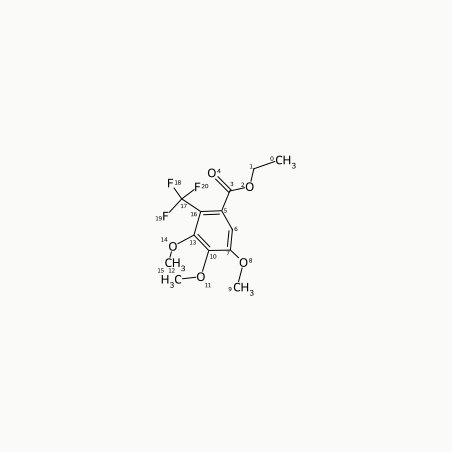 CCOC(=O)c1cc(OC)c(OC)c(OC)c1C(F)(F)F